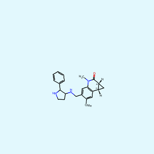 COc1cc2c(cc1CNC1CCNC1c1ccccc1)N(C)C(=O)[C@@H]1C[C@H]21